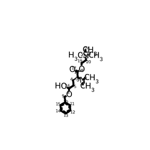 CN(C)[C@@H](CCC(O)OCc1ccccc1)C(=O)OCC[Si](C)(C)C